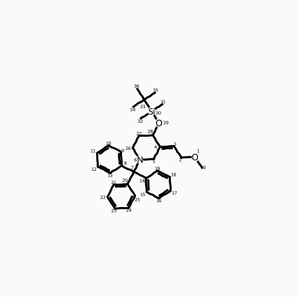 COCC=C1CN(C(c2ccccc2)(c2ccccc2)c2ccccc2)CCC1O[Si](C)(C)C(C)(C)C